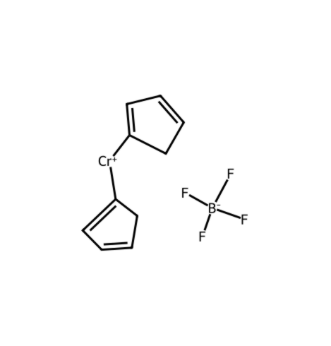 C1=CC[C]([Cr+][C]2=CC=CC2)=C1.F[B-](F)(F)F